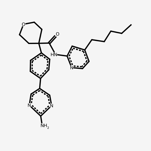 CCCCCc1ccnc(NC(=O)C2(c3ccc(-c4cnc(N)nc4)cc3)CCOCC2)c1